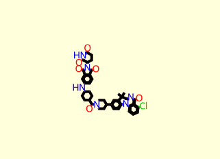 CC1(C)c2cc(C3CCN(C(=O)C4CCC(Nc5ccc6c(c5)C(=O)N(C5CCC(=O)NC5=O)C6=O)CC4)CC3)ccc2-n2c1nc(=O)c1c(Cl)cccc12